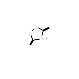 O=c1[nH]c(=S)ss1